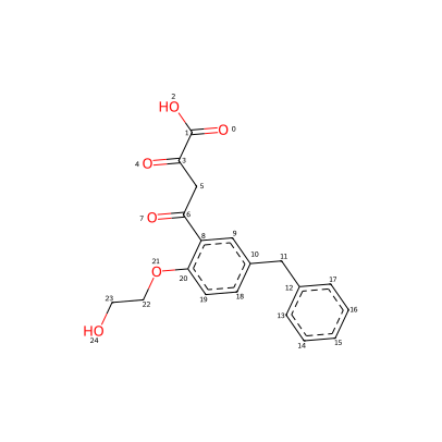 O=C(O)C(=O)CC(=O)c1cc(Cc2ccccc2)ccc1OCCO